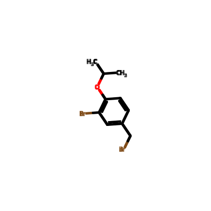 CC(C)Oc1ccc(CBr)cc1Br